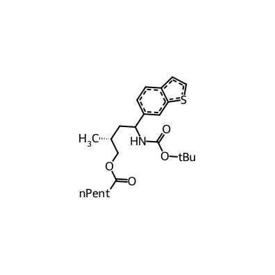 CCCCCC(=O)OC[C@H](C)CC(NC(=O)OC(C)(C)C)c1ccc2ccsc2c1